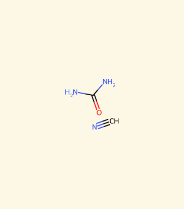 C#N.NC(N)=O